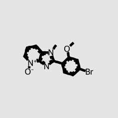 COc1cc(Br)ccc1-c1nc2c(ccc[n+]2[O-])n1C